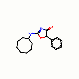 O=C1N=C(NC2CCCCCCC2)OC1c1ccccc1